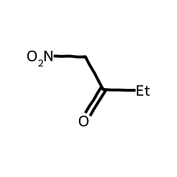 CCC(=O)C[N+](=O)[O-]